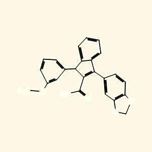 COc1cccc(C2C(C(=O)O)=C(c3ccc4c(c3)OCO4)c3ccccc32)c1